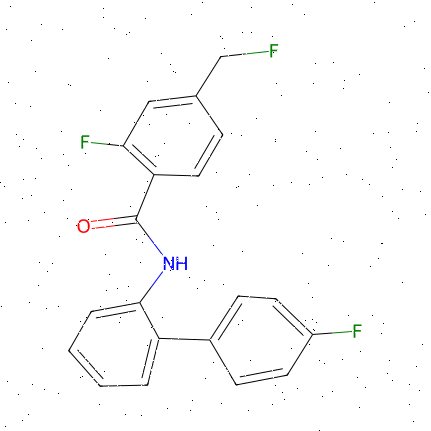 O=C(Nc1ccccc1-c1ccc(F)cc1)c1ccc(CF)cc1F